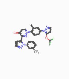 Cc1cc(-n2nccc2OC(F)F)ccc1-n1ccc(=O)c(-c2ccnn2-c2cccc(C(F)(F)F)c2)n1